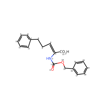 O=C(NC(=CCCc1ccccc1)C(=O)O)OCc1ccccc1